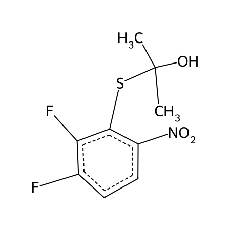 CC(C)(O)Sc1c([N+](=O)[O-])ccc(F)c1F